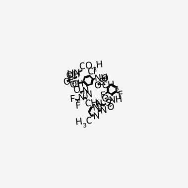 Cc1ccn2nc(S(=O)(=O)Nc3c(F)cccc3F)nc2n1.Cc1nn(-c2cc(NS(C)(=O)=O)c(Cl)cc2Cl)c(=O)n1C(F)F.O=C(O)CNCP(=O)(O)O